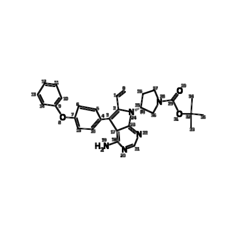 C=Cc1c(-c2ccc(Oc3ccccc3)cc2)c2c(N)ncnc2n1[C@@H]1CCN(C(=O)OC(C)(C)C)C1